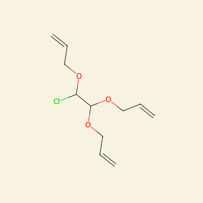 C=CCOC(Cl)C(OCC=C)OCC=C